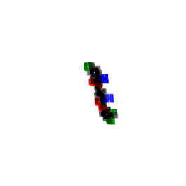 O=C(COc1ccc(Cl)c(F)c1)NC12CC(COC(=O)Nc3ccc(Cl)cc3)(C1)C2